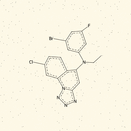 CCN(c1cc(F)cc(Br)c1)c1cc2nnnn2c2cc(Cl)ccc12